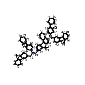 Cn1c2ccccc2c2cc(C/C(=C/c3ccc4c(c3)C(C)(C)c3cc(N(c5ccc6c(c5)sc5ccccc56)c5ccc6c(c5)c5ccccc5n6C)c5ccccc5c3-4)c3ccc4c(c3)sc3ccccc34)ccc21